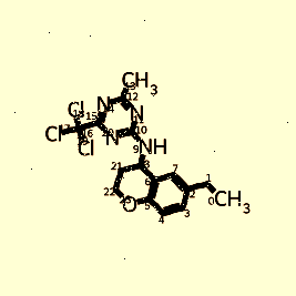 CCc1ccc2c(c1)C(Nc1nc(C)nc(C(Cl)(Cl)Cl)n1)CCO2